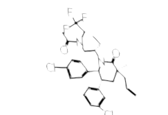 C=CC[C@@]1(C)C[C@H](c2cccc(Cl)c2)[C@@H](c2ccc(Cl)cc2)N([C@@H](CC)CN(CC(F)(F)F)C(C)=O)C1=O